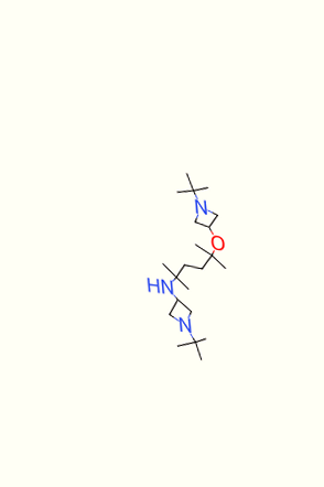 CC(C)(CCC(C)(C)OC1CN(C(C)(C)C)C1)NC1CN(C(C)(C)C)C1